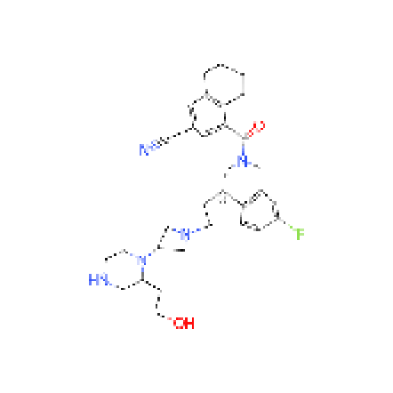 CN(C[C@@H](CCN1CC(N2CCNCC2CCO)C1)c1ccc(F)cc1)C(=O)c1cc(C#N)cc2c1CCCC2